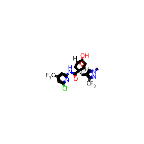 Cn1cc(C[C@]2(C(=O)Nc3cc(C(F)(F)F)cc(Cl)n3)C[C@H]3O[C@@H]2C[C@@H]3O)c(C(F)(F)F)n1